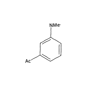 C[N]c1cccc(C(C)=O)c1